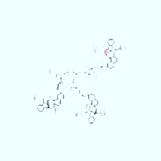 CC(C)CN1c2ccccc2C(C)(C)C12C=Nc1c(ccc3ccc(OC(=O)CCC(=O)OC(C)COCC(COCC(C)OC(=O)CCC(=O)Oc4ccc5ccc6c(c5c4)N=CC4(O6)N(CC(C)C)c5ccccc5C4(C)C)OCC(C)OC(=O)CCC(=O)Oc4ccc5ccc6c(c5c4)N=CC4(O6)N(CC(C)C)c5ccccc5C4(C)C)cc13)C2